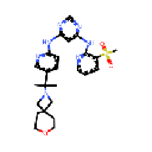 CC(C)(c1ccc(Nc2cc(Nc3ncccc3S(C)(=O)=O)ncn2)nc1)N1CC2(CCOCC2)C1